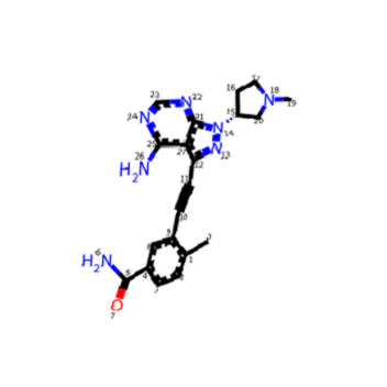 Cc1ccc(C(N)=O)cc1C#Cc1nn([C@@H]2CCN(C)C2)c2ncnc(N)c12